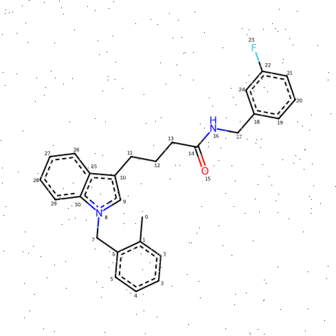 Cc1ccccc1Cn1cc(CCCC(=O)NCc2cccc(F)c2)c2ccccc21